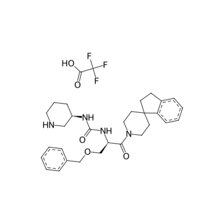 O=C(N[C@@H]1CCCNC1)N[C@H](COCc1ccccc1)C(=O)N1CCC2(CCc3ccccc32)CC1.O=C(O)C(F)(F)F